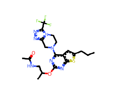 CCCc1cc2c(N3CCn4c(nnc4C(F)(F)F)C3)nc(OC(C)CNC(C)=O)nc2s1